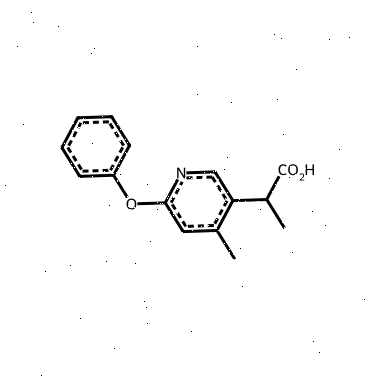 Cc1cc(Oc2ccccc2)ncc1C(C)C(=O)O